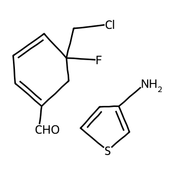 Nc1ccsc1.O=CC1=CC=CC(F)(CCl)C1